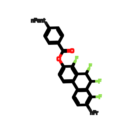 CCCCCc1ccc(C(=O)Oc2ccc3c(c2F)C(F)C(F)c2c-3ccc(CCC)c2F)cc1